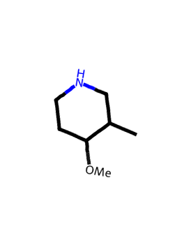 COC1CCNCC1C